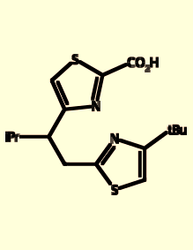 CC(C)C(Cc1nc(C(C)(C)C)cs1)c1csc(C(=O)O)n1